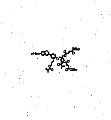 C=C(C)C(=O)OCCCc1cc(-c2ccc3c(c2)CC(CCCCCC)C3)ccc1OCC(COC(=O)/C=C/C(=O)OC)(COC(=O)/C=C/C(=O)OC)COC(=O)C(=C)C